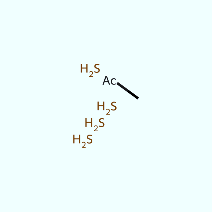 CC(C)=O.S.S.S.S